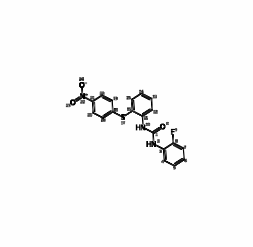 O=C(Nc1ccccc1F)Nc1ccccc1Sc1ccc([N+](=O)[O-])cc1